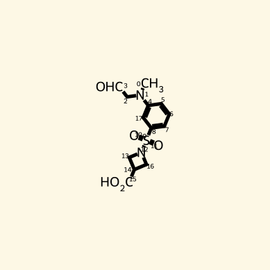 CN(CC=O)c1cccc(S(=O)(=O)N2CC(C(=O)O)C2)c1